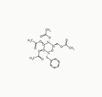 CC(=O)OC[C@H]1O[C@H](Sc2ccccc2)[C@@H](OC(C)=O)[C@@H](OC(C)=O)[C@@H]1OC(C)=O